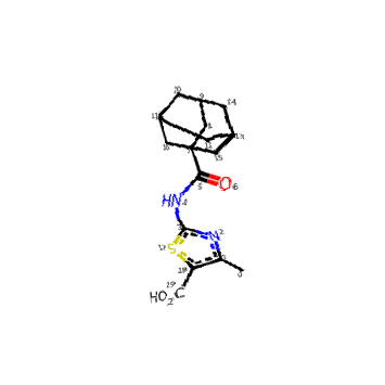 Cc1nc(NC(=O)C23CC4CC(CC(C4)C2)C3)sc1C(=O)O